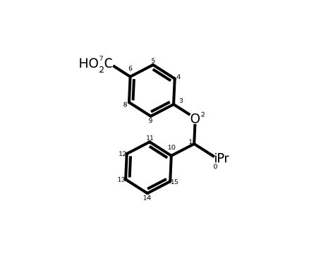 CC(C)C(Oc1ccc(C(=O)O)cc1)c1ccccc1